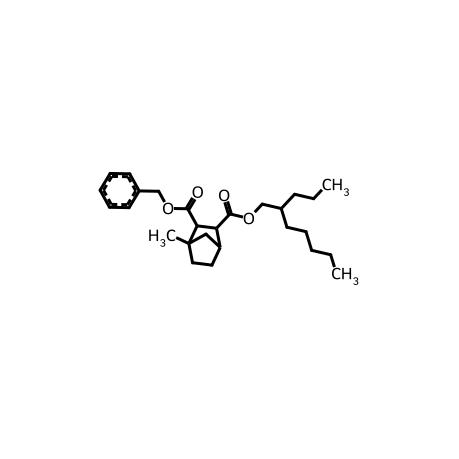 CCCCCC(CCC)COC(=O)C1C2CCC(C)(C2)C1C(=O)OCc1ccccc1